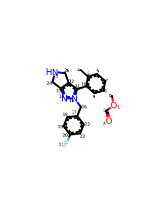 COC=O.Cc1ccccc1-c1c2c(nn1Cc1ccc(F)cc1)CNC2